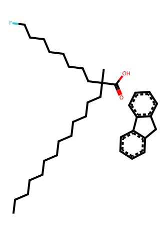 CCCCCCCCCCCCCC(C)(CCCCCCCCF)C(=O)O.c1ccc2c(c1)Cc1ccccc1-2